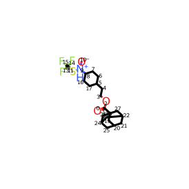 O=C(OCCC1CCC([NH+]([O-])SC(F)(F)F)CC1)C12CC3CC(CC(C3)C1)C2